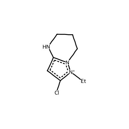 CC[n+]1c(Cl)cc2n1CCCN2